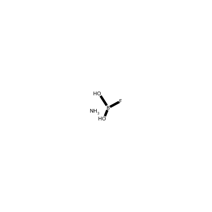 N.OB(O)F